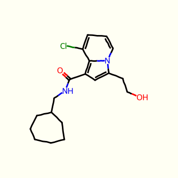 O=C(NCC1CCCCCC1)c1cc(CCO)n2cccc(Cl)c12